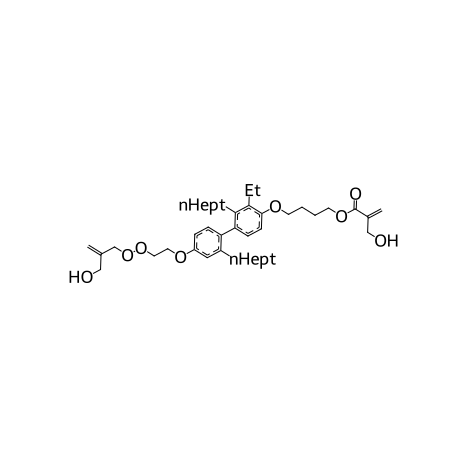 C=C(CO)COOCCOc1ccc(-c2ccc(OCCCCOC(=O)C(=C)CO)c(CC)c2CCCCCCC)c(CCCCCCC)c1